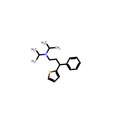 CC(C)N(CCC(c1ccccc1)c1cccs1)C(C)C